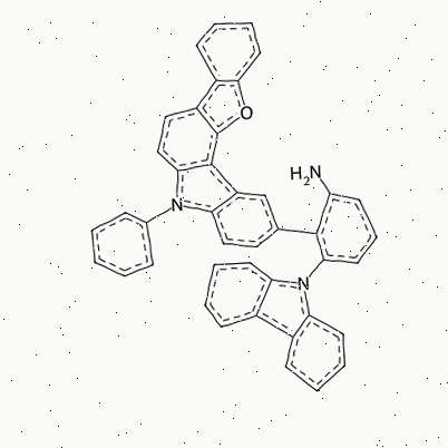 Nc1cccc(-n2c3ccccc3c3ccccc32)c1-c1ccc2c(c1)c1c3oc4ccccc4c3ccc1n2-c1ccccc1